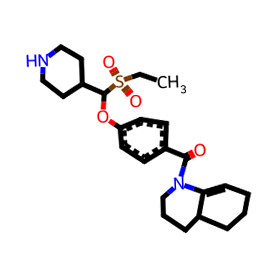 CCS(=O)(=O)C(Oc1ccc(C(=O)N2CCCC3CCCC=C32)cc1)C1CCNCC1